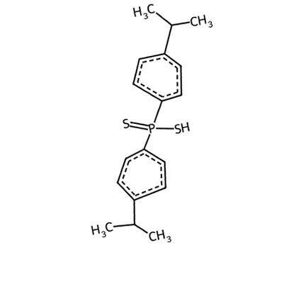 CC(C)c1ccc(P(=S)(S)c2ccc(C(C)C)cc2)cc1